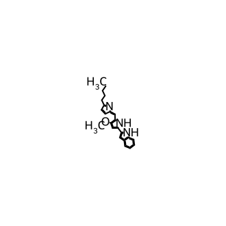 CCCCCC1=N/C(=C/c2[nH]c(-c3cc4ccccc4[nH]3)cc2OC)C=C1